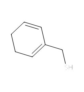 SCC1=CCCC=C1